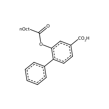 CCCCCCCCC(=O)Oc1cc(C(=O)O)ccc1-c1ccccc1